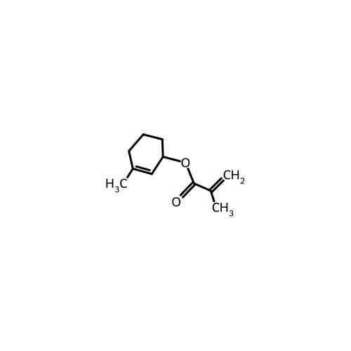 C=C(C)C(=O)OC1C=C(C)CCC1